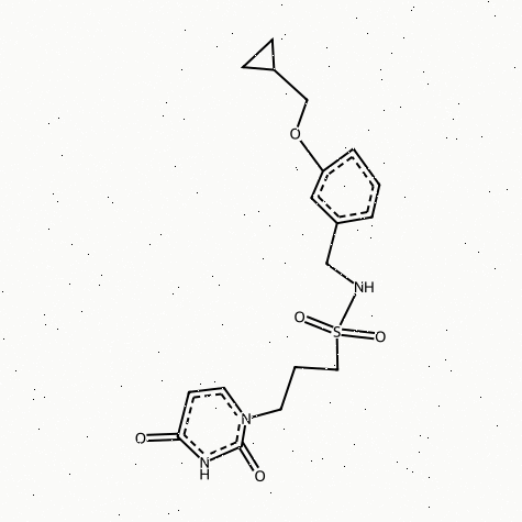 O=c1ccn(CCCS(=O)(=O)NCc2cccc(OCC3CC3)c2)c(=O)[nH]1